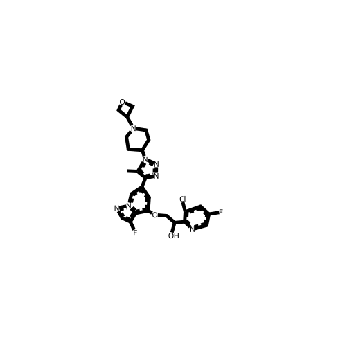 Cc1c(-c2cc(OCC(O)c3ncc(F)cc3Cl)c3c(F)cnn3c2)nnn1C1CCN(C2COC2)CC1